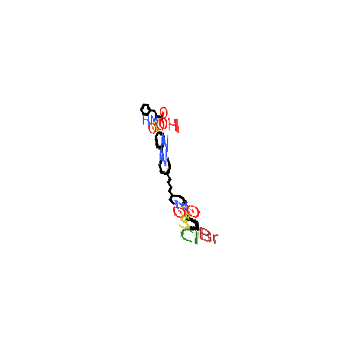 O=C(O)C(Cc1ccccc1)NS(=O)(=O)c1ccc(N2CCC(CCCCC3CCN(S(=O)(=O)c4cc(Br)c(Cl)s4)CC3)CC2)nc1